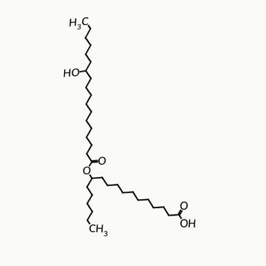 CCCCCCC(O)CCCCCCCCCCC(=O)OC(CCCCCC)CCCCCCCCCCC(=O)O